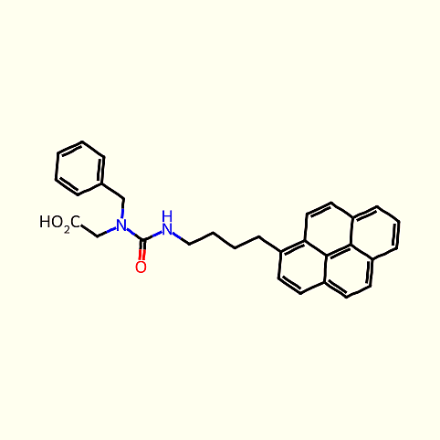 O=C(O)CN(Cc1ccccc1)C(=O)NCCCCc1ccc2ccc3cccc4ccc1c2c34